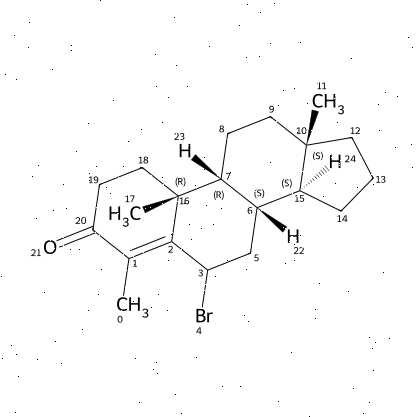 CC1=C2C(Br)C[C@@H]3[C@@H](CC[C@]4(C)CCC[C@@H]34)[C@@]2(C)CCC1=O